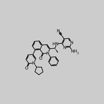 C[C@H](Nc1nc(N)ncc1C#N)c1cc2cccc(-c3ccc(=O)n(C4CCCC4)c3)c2c(=O)n1-c1ccccc1